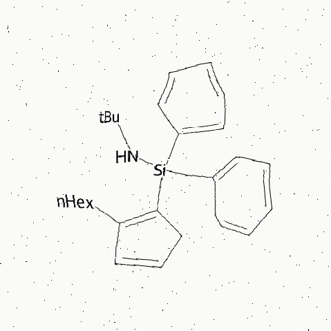 CCCCCCC1=C([Si](NC(C)(C)C)(c2ccccc2)c2ccccc2)CC=C1